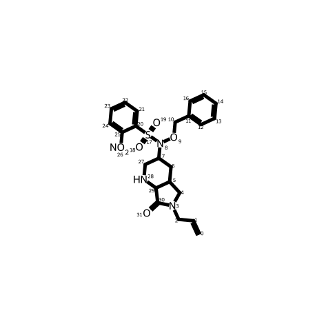 C=CCN1CC2CC(N(OCc3ccccc3)S(=O)(=O)c3ccccc3[N+](=O)[O-])CNC2C1=O